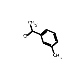 [CH2]C(Cl)c1cccc(C)c1